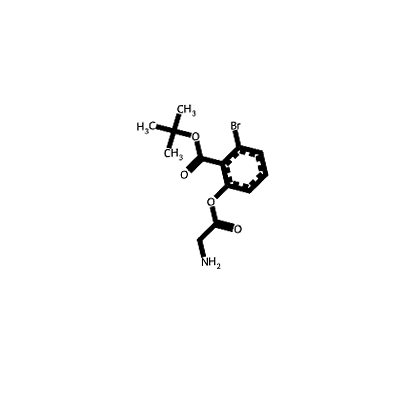 CC(C)(C)OC(=O)c1c(Br)cccc1OC(=O)CN